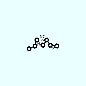 N#Cc1ccc(-c2ccc3sc4ccccc4c3c2)c2c1sc1c(-n3c4ccccc4c4cc(-c5ccccc5)ccc43)cccc12